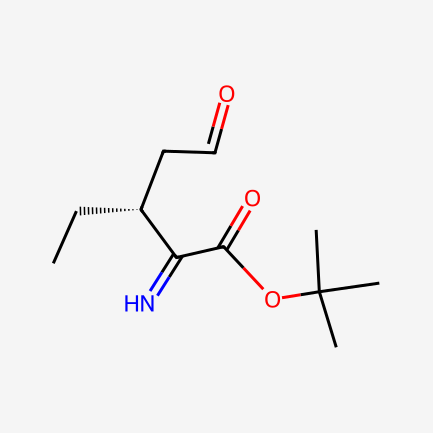 CC[C@H](CC=O)C(=N)C(=O)OC(C)(C)C